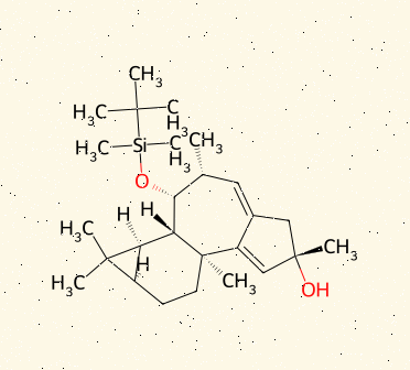 C[C@@H]1C=C2C[C@](C)(O)C=C2[C@@]2(C)CC[C@@H]3[C@H]([C@@H]2[C@@H]1O[Si](C)(C)C(C)(C)C)C3(C)C